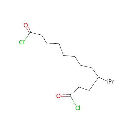 CC(C)C(CCCCCCCC(=O)Cl)CCC(=O)Cl